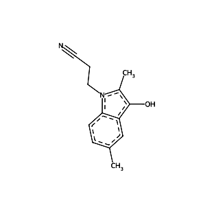 Cc1ccc2c(c1)c(O)c(C)n2CCC#N